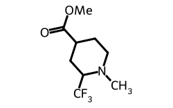 COC(=O)C1CCN(C)C(C(F)(F)F)C1